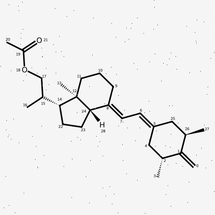 C=C1[C@H](C)CC(=C/C=C2\CCC[C@]3(C)[C@@H](C(C)COC(C)=O)CC[C@@H]23)C[C@H]1C